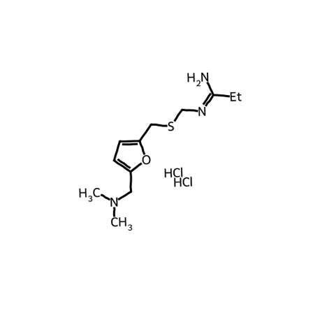 CCC(N)=NCSCc1ccc(CN(C)C)o1.Cl.Cl